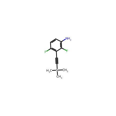 C[Si](C)(C)C#Cc1c(F)ccc(N)c1F